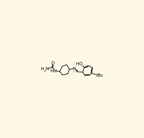 CC(C)(C)C1=CC=C(O)C(/C=N/C2CCC(NC(N)=O)CC2)C=C1